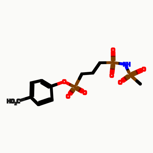 CS(=O)(=O)NS(=O)(=O)CCCS(=O)(=O)Oc1ccc(C(=O)O)cc1